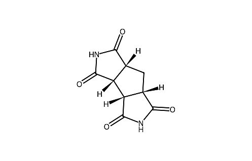 O=C1NC(=O)[C@H]2C[C@H]3C(=O)NC(=O)[C@H]3[C@@H]12